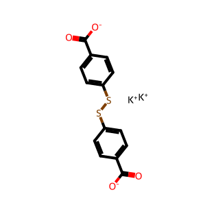 O=C([O-])c1ccc(SSc2ccc(C(=O)[O-])cc2)cc1.[K+].[K+]